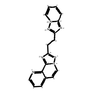 c1cnc2c(c1)ccn1nc(CCc3nc4ccccn4n3)nc21